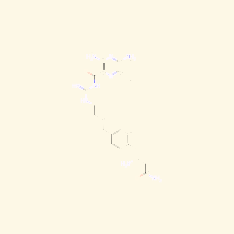 N=C(NCCCCc1ccc(C[C@@H](N)CC(N)=O)cc1)NC(=O)c1nc(Cl)c(N)nc1N